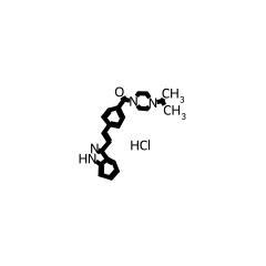 CC(C)N1CCN(C(=O)c2ccc(C=Cc3n[nH]c4ccccc34)cc2)CC1.Cl